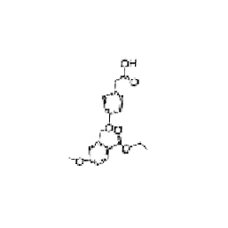 CCOC(=O)c1ccc(OC)cc1COc1ccc(CC(=O)O)cc1